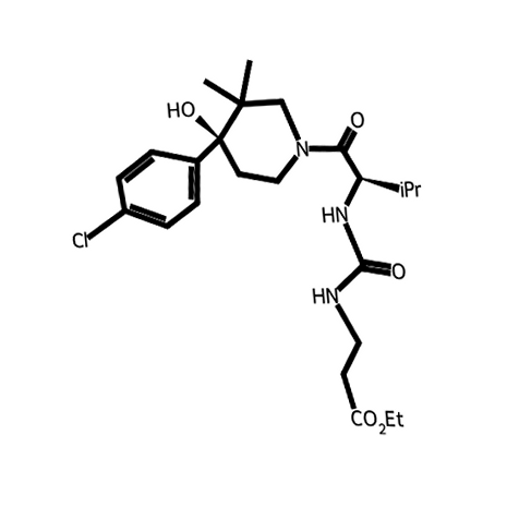 CCOC(=O)CCNC(=O)N[C@@H](C(=O)N1CC[C@](O)(c2ccc(Cl)cc2)C(C)(C)C1)C(C)C